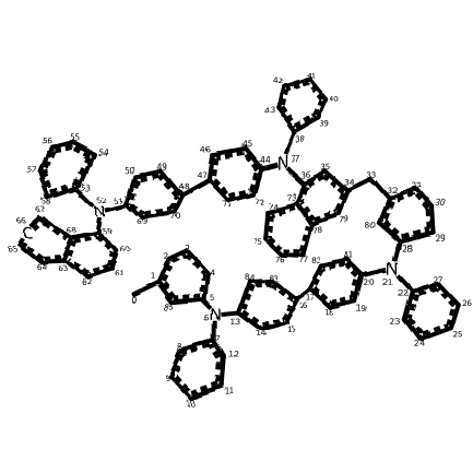 Cc1cccc(N(c2ccccc2)c2ccc(-c3ccc(N(c4ccccc4)c4cccc(Cc5cc(N(c6ccccc6)c6ccc(-c7ccc(N(c8ccccc8)c8cccc9ccccc89)cc7)cc6)c6ccccc6c5)c4)cc3)cc2)c1